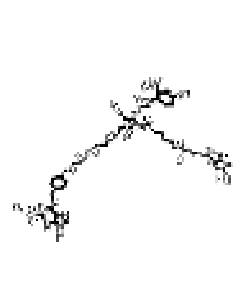 Nc1nc(OCc2ccc(COCCOCCOCCOCCNC(=O)C(CCCCNc3ccc(N=O)cc3N=O)NC(=O)CCCCCNC(=O)CCCC[C@H]3SC[C@H]4NC(=O)N[C@H]43)cc2)c2nc[nH]c2n1